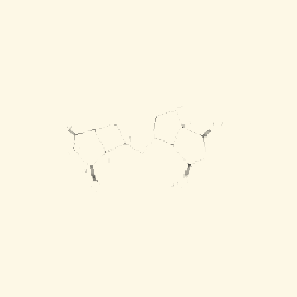 O=C1OC(=O)C2C(CC3CC4C(=O)OC(=O)C34)CCC12